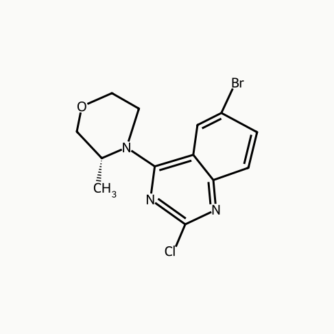 C[C@@H]1COCCN1c1nc(Cl)nc2ccc(Br)cc12